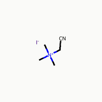 C[N+](C)(C)CC#N.[I-]